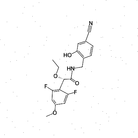 CCO[C@H](C(=O)NCc1ccc(C#N)cc1O)c1c(F)cc(OC)cc1F